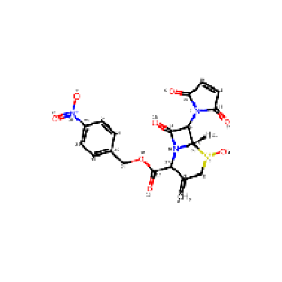 C=C1C[S+]([O-])[C@H]2C(N3C(=O)C=CC3=O)C(=O)N2C1C(=O)OCc1ccc([N+](=O)[O-])cc1